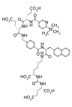 C[N+](C)(C)c1ccc(C(=O)N[C@@H](CCC(=O)O)C(=O)N[C@@H](CCC(=O)O)C(=O)NCc2ccc(C(=O)N[C@@H](Cc3ccc4ccccc4c3)C(=O)NCCCC[C@H](NC(=O)N[C@@H](CCC(=O)O)C(=O)O)C(=O)O)cc2)cn1